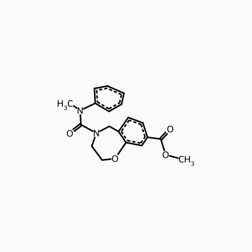 COC(=O)c1ccc2c(c1)OCCN(C(=O)N(C)c1ccccc1)C2